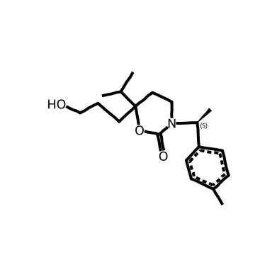 Cc1ccc([C@H](C)N2CCC(CCCO)(C(C)C)OC2=O)cc1